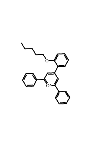 CCCCCOc1ccccc1-c1cc(-c2ccccc2)[o+]c(-c2ccccc2)c1